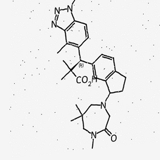 Cc1c([C@@H](c2ccc3c(c2)C(N2CC(=O)N(C)CC(C)(C)C2)CC3)C(C)(C)C(=O)O)ccc2c1nnn2C